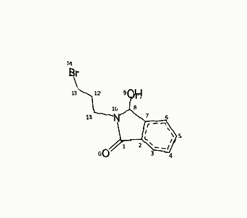 O=C1c2ccccc2C(O)N1CCCBr